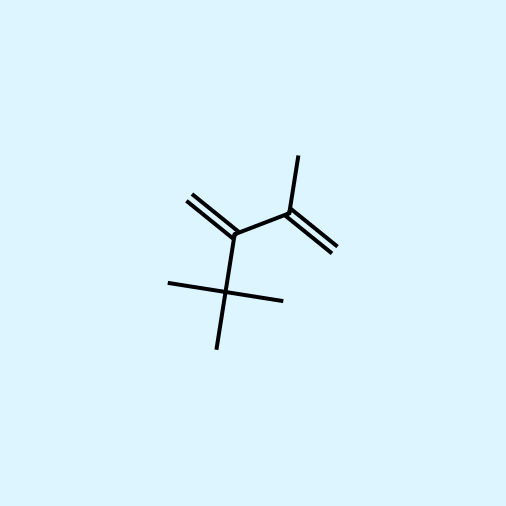 C=C(C)C(=C)C(C)(C)C